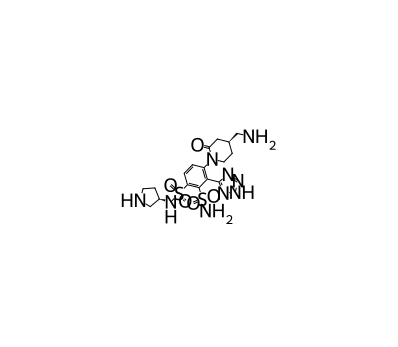 NC[C@H]1CCN(c2ccc(S(=O)(=O)N[C@@H]3CCNC3)c(S(N)(=O)=O)c2-c2nn[nH]n2)C(=O)C1